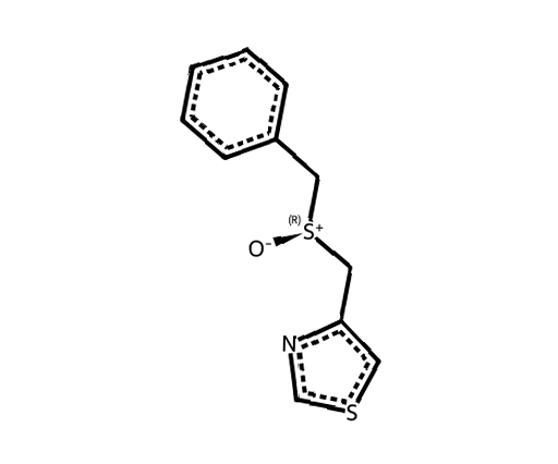 [O-][S@@+](Cc1ccccc1)Cc1cscn1